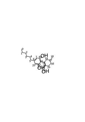 CCCCCCc1cc(O)c(C2=C(CO)CCC(C)C2)c(O)c1